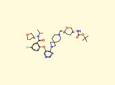 CC(C)N(C(=O)c1cc(F)ccc1Oc1cncnc1N1CC2(CCN(C[C@@H]3CC[C@@H](NC(=O)OC(C)(C)C)CO3)CC2)C1)[C@@H]1CCOC1